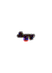 O=S1(=O)N=c2c(c3cc(-c4ccc(N(c5ccccc5)c5ccccc5)s4)ccc3c3ccc(-c4ccc(N(c5ccccc5)c5ccccc5)s4)cc23)=N1